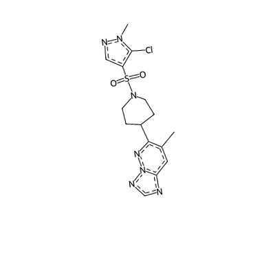 Cc1cc2ncnn2nc1C1CCN(S(=O)(=O)c2cnn(C)c2Cl)CC1